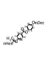 CCCCCCCCCCOc1ccc(OC(=O)c2ccc(O[C@@H](C)CCCCCC)nc2)cc1